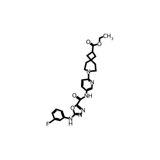 CCOC(=O)C1CC2(CCN(c3ccc(NC(=O)c4nnc(Nc5cccc(F)c5)o4)cn3)CC2)C1